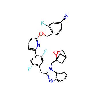 N#Cc1ccc(COc2cccc(-c3cc(F)c(Cc4nc5ccccc5n4CC45CC(CO4)C5)cc3F)n2)c(F)c1